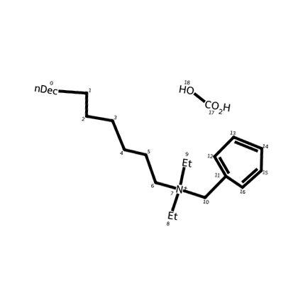 CCCCCCCCCCCCCCCC[N+](CC)(CC)Cc1ccccc1.O=C(O)O